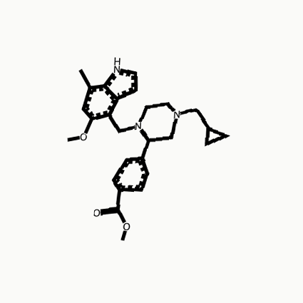 COC(=O)c1ccc(C2CN(CC3CC3)CCN2Cc2c(OC)cc(C)c3[nH]ccc23)cc1